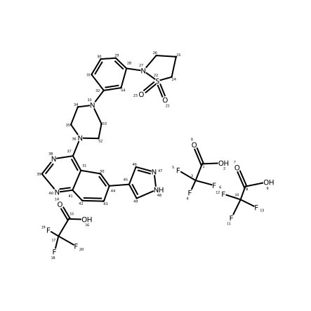 O=C(O)C(F)(F)F.O=C(O)C(F)(F)F.O=C(O)C(F)(F)F.O=S1(=O)CCCN1c1cccc(N2CCN(c3ncnc4ccc(-c5cn[nH]c5)cc34)CC2)c1